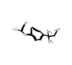 CC(=O)Oc1ccc(C(C)(C)CCl)cc1